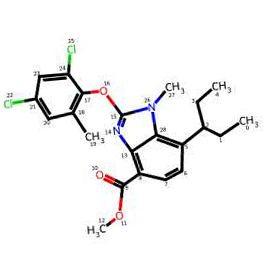 CCC(CC)c1ccc(C(=O)OC)c2nc(Oc3c(C)cc(Cl)cc3Cl)n(C)c12